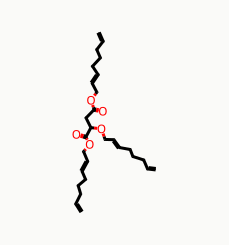 C=CCCCC=CCOC(=O)CC(OCC=CCCCC=C)C(=O)OCC=CCCCC=C